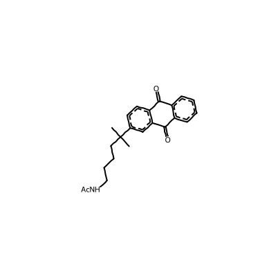 CC(=O)NCCCCC(C)(C)c1ccc2c(c1)C(=O)c1ccccc1C2=O